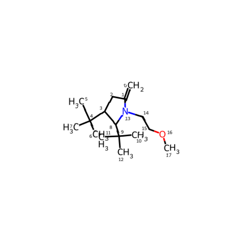 C=C1CC(C(C)(C)C)C(C(C)(C)C)N1CCOC